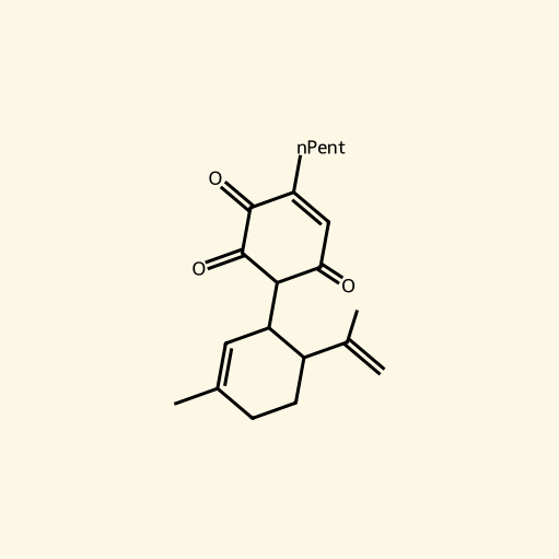 C=C(C)C1CCC(C)=CC1C1C(=O)C=C(CCCCC)C(=O)C1=O